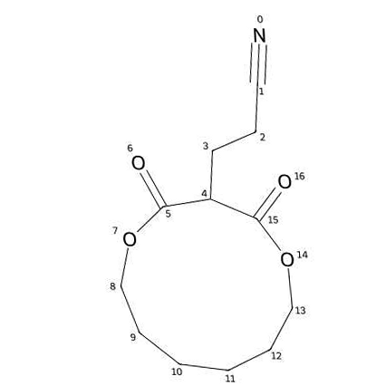 N#CCCC1C(=O)OCCCCCCOC1=O